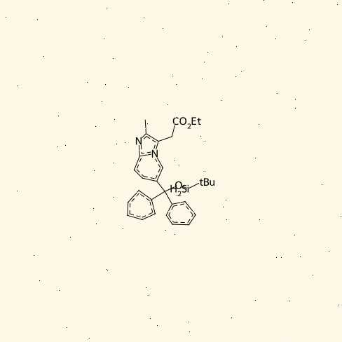 CCOC(=O)Cc1c(C)nc2ccc(C(O[SiH2]C(C)(C)C)(c3ccccc3)c3ccccc3)cn12